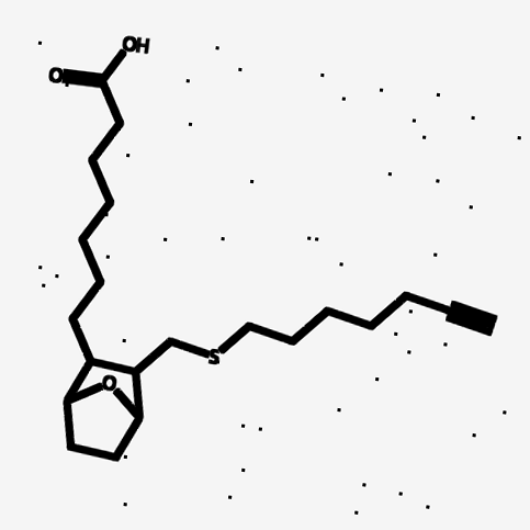 C#CCCCCCSCC1C2CCC(O2)C1CCCCCCC(=O)O